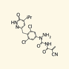 C=C(C#N)C(=O)NC(=O)N(N)c1cc(Cl)c(Cc2cc(C(C)C)c(=O)[nH]n2)c(Cl)c1